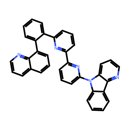 c1cc(-c2cccc(-n3c4ccccc4c4ncccc43)n2)nc(-c2ccccc2-c2cccc3cccnc23)c1